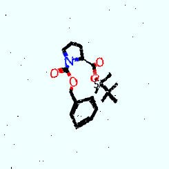 CC(C)(C)[Si](C)(C)OC(=O)[C@@H]1CCCN1C(=O)OCc1ccccc1